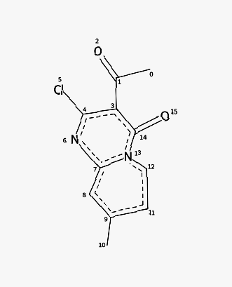 CC(=O)c1c(Cl)nc2cc(C)ccn2c1=O